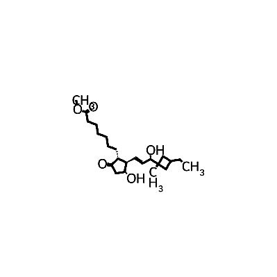 CCC1CC(C)([C@H](O)/C=C/[C@H]2[C@H](O)CC(=O)[C@@H]2CCCCCCC(=O)OC)C1